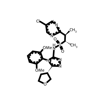 COc1cccc(OC)c1-n1c(NS(=O)(=O)[C@@H](C)[C@H](C)c2ncc(Cl)cn2)nnc1[C@H]1CCOC1